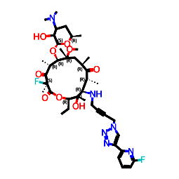 CC[C@H]1OC(=O)[C@@](C)(F)C(=O)[C@H](C)[C@@H](O[C@@H]2O[C@H](C)CC(N(C)C)C2O)[C@](C)(OC)C[C@@H](C)C(=O)[C@H](C)[C@@H](NCC#CCn2cc(-c3cccc(F)n3)nn2)[C@]1(C)O